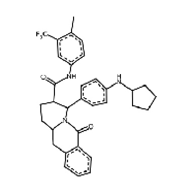 Cc1ccc(NC(=O)C2CCC3Cc4ccccc4C(=O)N3C2c2ccc(NC3CCCC3)cc2)cc1C(F)(F)F